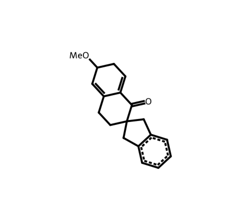 COC1C=C2CCC3(Cc4ccccc4C3)C(=O)C2=CC1